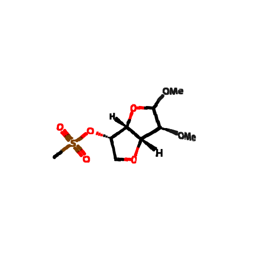 COC1O[C@@H]2[C@@H](OC[C@@H]2OS(C)(=O)=O)[C@@H]1OC